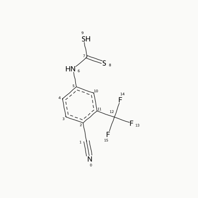 N#Cc1ccc(NC(=S)S)cc1C(F)(F)F